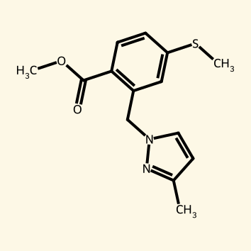 COC(=O)c1ccc(SC)cc1Cn1ccc(C)n1